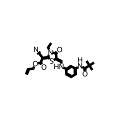 C=CCOC(=O)C(C#N)=c1sc(=CNc2cccc(NC(=O)C(C)(C)C)c2)c(=O)n1CC